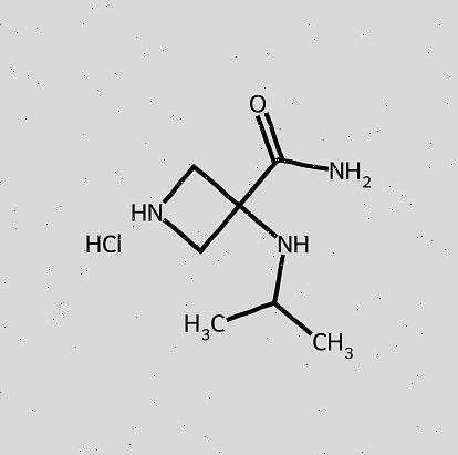 CC(C)NC1(C(N)=O)CNC1.Cl